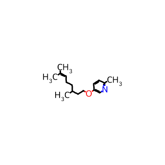 CC(C)=CCCC(C)CCOc1ccc(C)nc1